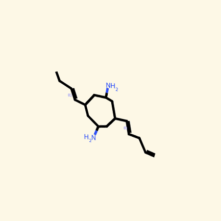 C=CC/C=C/C1CC(N)CC(/C=C/CC)CC(N)C1